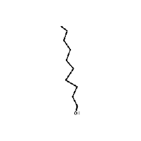 CC[CH]CCCCCCCO